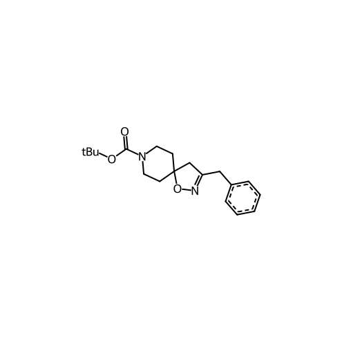 CC(C)(C)OC(=O)N1CCC2(CC1)CC(Cc1ccccc1)=NO2